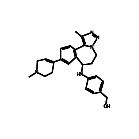 Cc1nnn2c1-c1ccc(C3=CCN(C)CC3)cc1C(Nc1ccc(CO)cc1)CC2